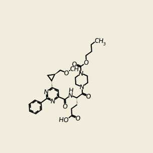 CCCCOC(=O)N1CCN(C(=O)[C@H](CCC(=O)O)NC(=O)c2cc([C@@H]3C[C@H]3COC)nc(-c3ccccc3)n2)CC1